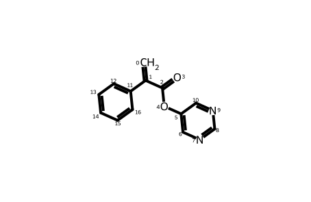 C=C(C(=O)Oc1cncnc1)c1ccccc1